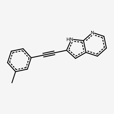 Cc1cccc(C#Cc2cc3cccnc3[nH]2)c1